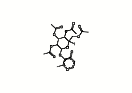 CC(=O)OCC1(I)OC(Oc2c(C)occc2=O)C(OC(C)=O)C(OC(C)=O)C1OC(C)=O